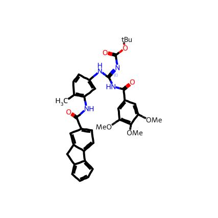 COc1cc(C(=O)N/C(=N/C(=O)OC(C)(C)C)Nc2ccc(C)c(NC(=O)c3ccc4c(c3)Cc3ccccc3-4)c2)cc(OC)c1OC